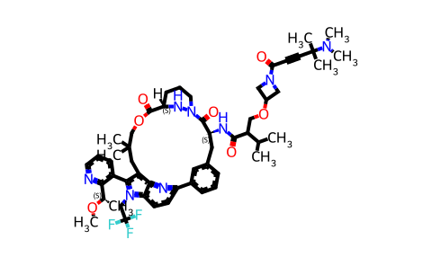 CO[C@@H](C)c1ncccc1-c1c2c3nc(ccc3n1CC(F)(F)F)-c1cccc(c1)C[C@H](NC(=O)C(COC1CN(C(=O)C#CC(C)(C)N(C)C)C1)C(C)C)C(=O)N1CCC[C@H](N1)C(=O)OCC(C)(C)C2